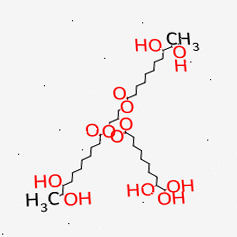 CC(O)C(O)CCCCCCCC(=O)OCC(COC(=O)CCCCCCCC(O)C(C)O)OC(=O)CCCCCCCC(O)C(O)O